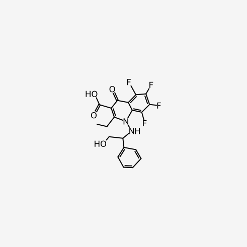 CCc1c(C(=O)O)c(=O)c2c(F)c(F)c(F)c(F)c2n1NC(CO)c1ccccc1